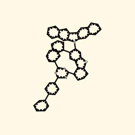 c1ccc(-c2ccc(-c3nc(-c4ccccc4)nc(-c4cccc5oc6cc(-n7c8cc9ccccc9cc8c8cc9ccccc9cc87)c(-c7ccccc7)cc6c45)n3)cc2)cc1